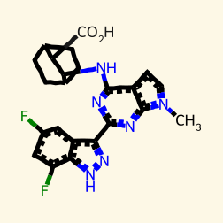 Cn1ccc2c(NC3C4CCC(CC4)C3C(=O)O)nc(-c3n[nH]c4c(F)cc(F)cc34)nc21